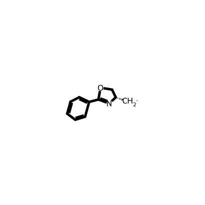 [CH2][C@H]1COC(c2ccccc2)=N1